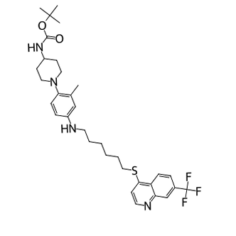 Cc1cc(NCCCCCCSc2ccnc3cc(C(F)(F)F)ccc23)ccc1N1CCC(NC(=O)OC(C)(C)C)CC1